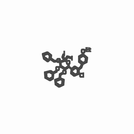 CCOc1ccc(Cc2cc([C@@H]3OC(CI)(CI)[C@@H](OCc4ccccc4)[C@H](OCc4ccccc4)[C@H]3OCc3ccccc3)ccc2Cl)cc1